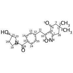 CC1(C)CC(=O)c2c(noc2Cc2ccc(C(=O)N3CCC(O)C3)cc2)C1